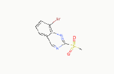 CS(=O)(=O)c1ncc2cccc(Br)c2n1